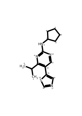 CC(C)c1nc(NC2CCCC2)ncc1-c1cncs1